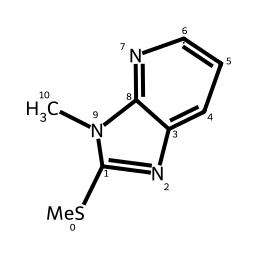 CSc1nc2cc[c]nc2n1C